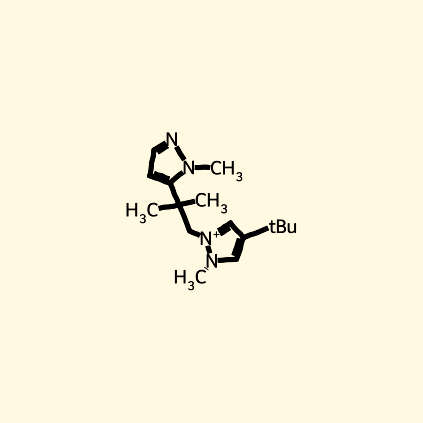 Cn1nccc1C(C)(C)C[n+]1cc(C(C)(C)C)cn1C